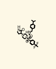 CC(C)c1ccc(CNC(=O)[C@H]2CN(C3CCNC3=O)CCN2S(=O)(=O)c2ccc(C(C)(F)F)cc2)cc1